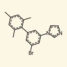 Cc1cc(C)c(-c2cc(Br)cc(-n3ccnc3)c2)c(C)c1